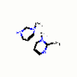 CC1NC=CCN1C.CN1C=CCNC1